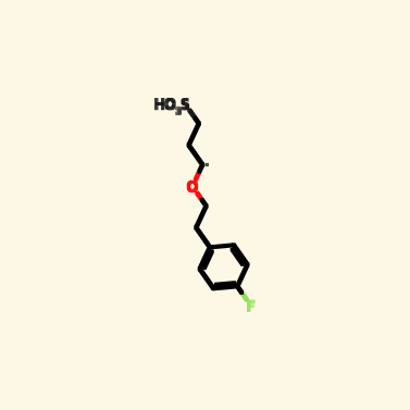 O=S(=O)(O)CC[CH]OCCc1ccc(F)cc1